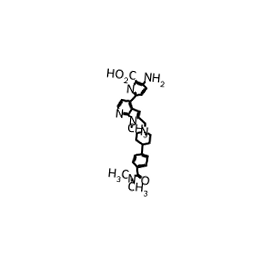 CN(C)C(=O)c1ccc(C2CCN(Cc3cc4c(-c5ccc(N)c(C(=O)O)n5)ccnc4n3C)CC2)cc1